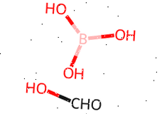 O=CO.OB(O)O